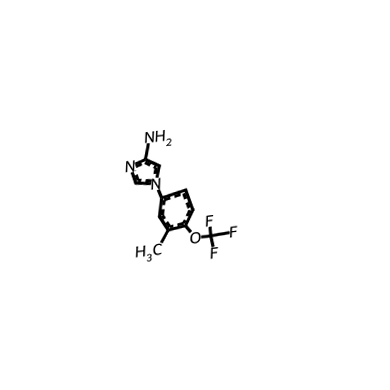 Cc1cc(-n2cnc(N)c2)ccc1OC(F)(F)F